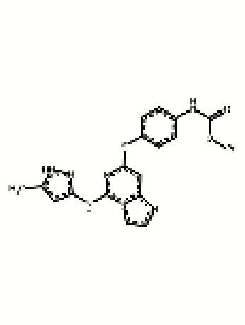 Cc1cc(Nc2nc(Sc3ccc(NC(=O)OC(C)C)cc3)cc3nccn23)n[nH]1